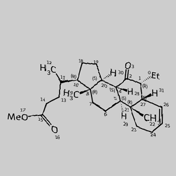 CC[C@H]1C(=O)[C@@H]2[C@H](CC[C@]3(C)[C@@H](C(C)CCC(=O)OC)CC[C@@H]23)[C@@]2(C)CCC=C[C@@H]12